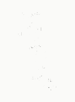 CC(=O)O[C@H](CCl)COc1c(Cl)cc(S(=O)(=O)c2ccc(OC[C@@H](Cn3ccnc3)OC(C)=O)cc2)cc1Cl